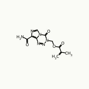 C=C(C)C(=O)OCn1nnc2c(C(N)=O)ncn2c1=O